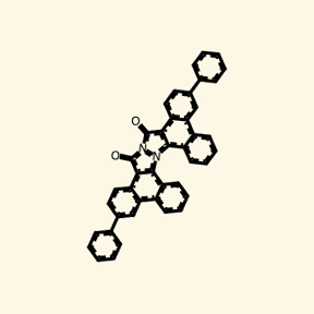 O=c1c2c3ccc(-c4ccccc4)cc3c3ccccc3c2n2c3c4ccccc4c4cc(-c5ccccc5)ccc4c3c(=O)n12